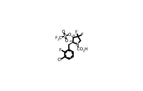 O=C(O)N1CC(F)(F)[C@@H](OS(=O)(=O)C(F)(F)F)[C@@H]1Cc1cccc(Cl)c1F